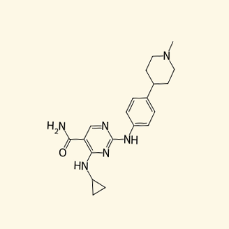 CN1CCC(c2ccc(Nc3ncc(C(N)=O)c(NC4CC4)n3)cc2)CC1